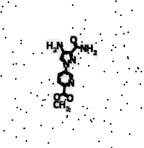 COC(=O)c1ccc(-n2cc(N)c(C(N)=O)n2)cn1